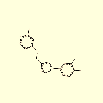 FC(F)(F)c1cc(NCc2cn(-c3ccc(Cl)c(Cl)c3)nn2)ccn1